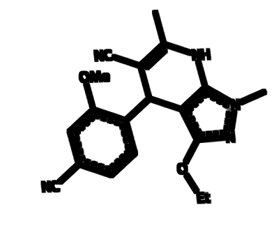 CCOc1nn(C)c2c1C(c1ccc(C#N)cc1OC)C(C#N)=C(C)N2